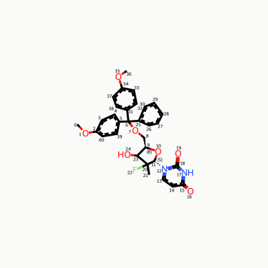 COc1ccc(C(OC[C@H]2O[C@H](n3ccc(=O)[nH]c3=O)C(C)(F)C2O)(c2ccccc2)c2ccc(OC)cc2)cc1